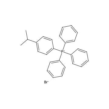 CC(C)c1ccc([P+](c2ccccc2)(c2ccccc2)c2ccccc2)cc1.[Br-]